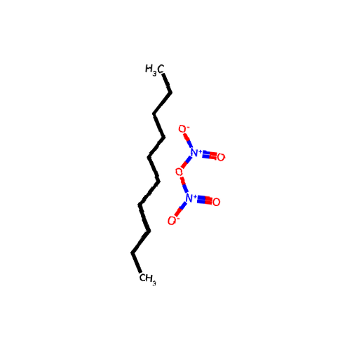 CCCCCCCCCC.O=[N+]([O-])O[N+](=O)[O-]